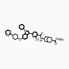 CC(C)(C)OC(=O)C1CC2CC(CC(NC(=O)c3ccc(-c4cn(-c5ccccc5)c5cc(OC6CCN(c7ncccn7)CC6)ccc45)nc3C(F)(F)F)C2)C1